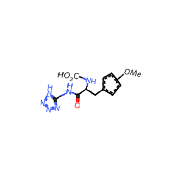 COc1ccc(CC(NC(=O)O)C(=O)Nc2nnn[nH]2)cc1